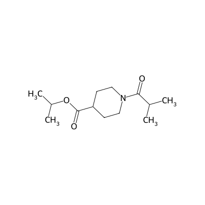 CC(C)OC(=O)C1CCN(C(=O)C(C)C)CC1